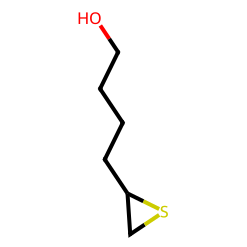 OCCCCC1CS1